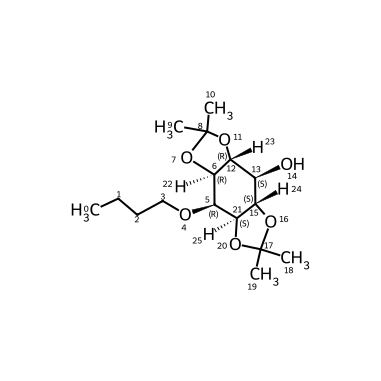 CCCCO[C@H]1[C@H]2OC(C)(C)O[C@@H]2[C@@H](O)[C@@H]2OC(C)(C)O[C@@H]12